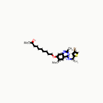 COC(=O)CCCCCCCCOc1cc2nc(C)nc(N[C@@H](C)c3cc(Br)cs3)c2cc1OC